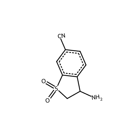 N#Cc1ccc2c(c1)S(=O)(=O)CC2N